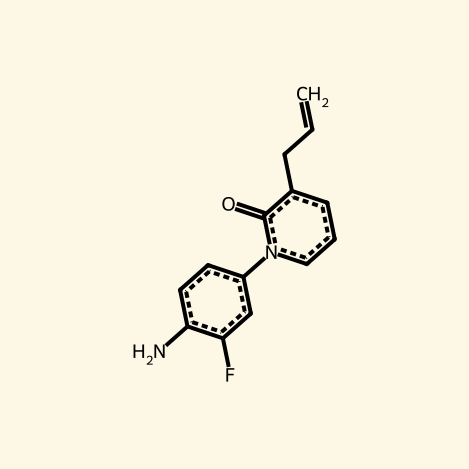 C=CCc1cccn(-c2ccc(N)c(F)c2)c1=O